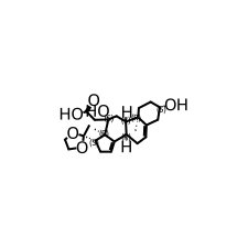 CC1([C@H]2CC=C3[C@@H]4CC=C5C[C@@H](O)CC[C@]5(C)[C@H]4C[C@](O)(CC(=O)O)[C@@]32C)OCCO1